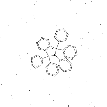 c1ccc(N2C(c3ccccc3)(c3ccccc3)c3cnncc3C2(c2ccccc2)c2ccccc2)cc1